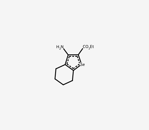 CCOC(=O)c1[se]c2c(c1N)CCCC2